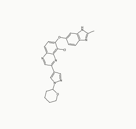 Cc1nc2ccc(Oc3ccc4ncc(-c5cnn(C6CCCCO6)c5)nc4c3Cl)cc2[nH]1